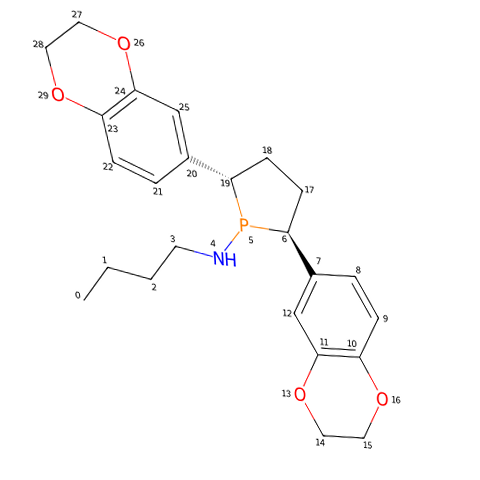 CCCCNP1[C@H](c2ccc3c(c2)OCCO3)CC[C@H]1c1ccc2c(c1)OCCO2